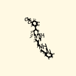 N=N/C(=C\NCc1ccccn1)CN1CCC(c2cccc(OC=O)c2)CC1